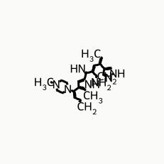 C=C/C=C(\c1cc(C(=N)/C(=C/C(=C\C)c2cn[nH]c2)C(=C)N)[nH]c1C)N1CCN(C)CC1